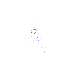 CN(CC=O)N[C@@H]1CCCN(c2cc(Nc3ccc(C4CCCCC4)cc3)c[nH]2)C1.NC(=O)C1CNCCN1